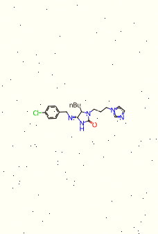 CCCCC1C(=NCc2ccc(Cl)cc2)NC(=O)N1CCCn1ccnc1